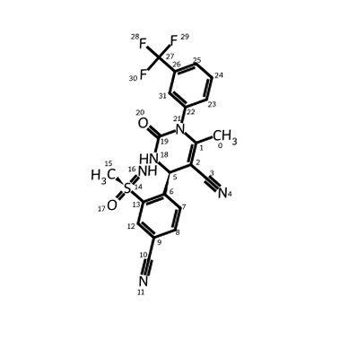 CC1=C(C#N)[C@@H](c2ccc(C#N)cc2[S@@](C)(=N)=O)NC(=O)N1c1cccc(C(F)(F)F)c1